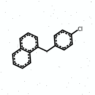 Clc1ccc([CH]c2cccc3ccccc23)cc1